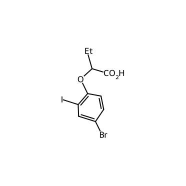 CCC(Oc1ccc(Br)cc1I)C(=O)O